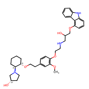 COc1cc(CCO[C@H]2CCCC[C@@H]2N2CC[C@H](O)C2)ccc1OCCNCC(O)COc1cccc2[nH]c3ccccc3c12